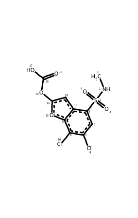 CNS(=O)(=O)c1cc(Cl)c(Cl)c2oc(OC(=O)O)cc12